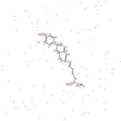 CC(O)CCC/C=C/c1ccc2cc(-c3ccc(O)c(F)c3)ncc2c1